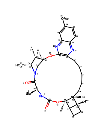 CC[C@@H]1[C@@H]2CN(C(=O)[C@H](C(C)(C)C)NC(=O)O[C@@H]3C4CC[C@H]4[C@H]3CCCCCc3nc4ccc(OC)cc4nc3O2)[C@@H]1C(=O)O